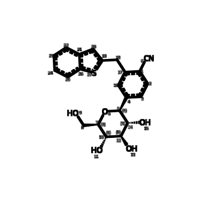 N#Cc1ccc([C@@H]2O[C@H](CO)[C@@H](O)[C@H](O)[C@H]2O)cc1Cc1cc2ccccc2s1